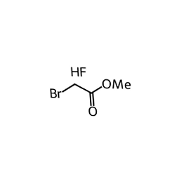 COC(=O)CBr.F